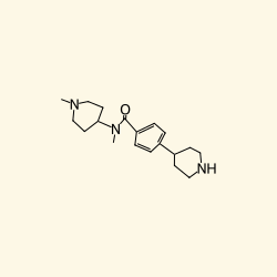 CN1CCC(N(C)C(=O)c2ccc(C3CCNCC3)cc2)CC1